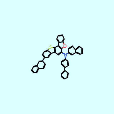 c1ccc(-c2ccc(N(c3ccc4ccccc4c3)c3cc4c5cc(-c6ccc7ccccc7c6)ccc5sc4c4c3oc3ccccc34)cc2)cc1